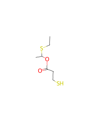 CCSC(C)OC(=O)CCS